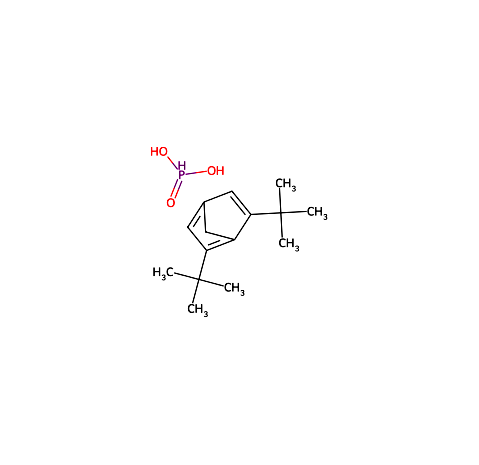 CC(C)(C)C1=CC2=CC(C(C)(C)C)=C1C2.O=[PH](O)O